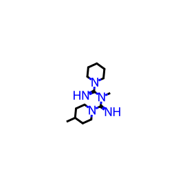 CC1CCN(C(=N)N(C)C(=N)N2CCCCC2)CC1